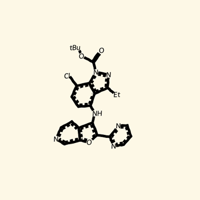 CCc1nn(C(=O)OC(C)(C)C)c2c(Cl)ccc(Nc3c(-c4ncccn4)oc4cnccc34)c12